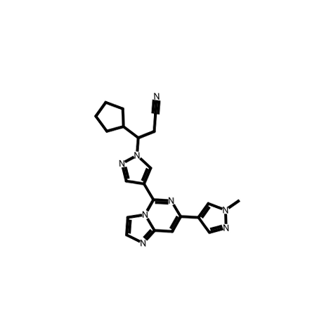 Cn1cc(-c2cc3nccn3c(-c3cnn(C(CC#N)C4CCCC4)c3)n2)cn1